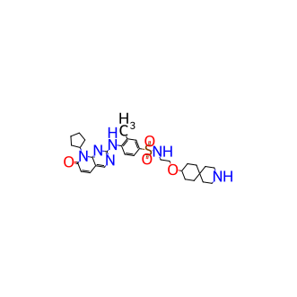 Cc1cc(S(=O)(=O)NCCOC2CCC3(CCNCC3)CC2)ccc1Nc1ncc2ccc(=O)n(C3CCCC3)c2n1